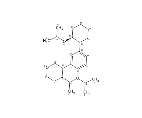 CC(C)OC(C)C1CCOCC1c1cccc([C@H]2CCCC[C@@H]2OC(C)C)c1